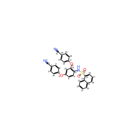 N#Cc1ccc(Oc2ccc(NS(=O)(=O)c3cccc4ccccc34)c(Oc3ccc(C#N)cc3)c2)cc1